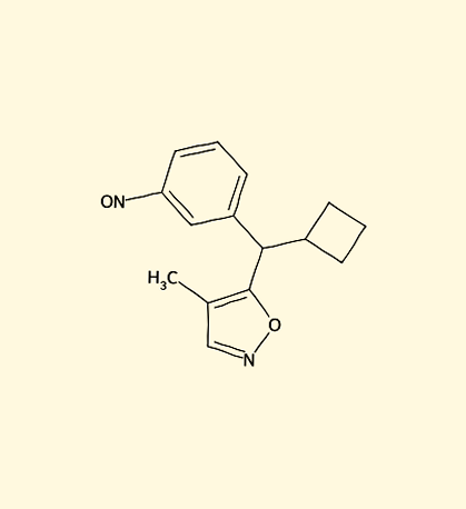 Cc1cnoc1C(c1cccc(N=O)c1)C1CCC1